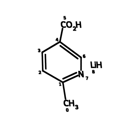 Cc1ccc(C(=O)O)cn1.[LiH]